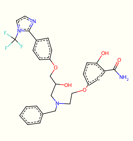 NC(=O)c1cc(OCCN(Cc2ccccc2)CC(O)COc2ccc(-c3nccn3C(F)(F)F)cc2)ccc1O